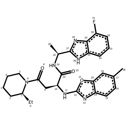 CC[C@H]1CCCCN1C(=O)C[C@H](Nc1nc2ccc(C)cc2o1)C(=O)N[C@@H](C)c1nc2c(F)cccc2[nH]1